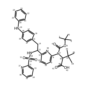 CC(C)(C)OC(=O)N(c1cccc(C(Cc2ccc(Nc3ccccc3)cc2)NS(=O)(=O)c2ccccn2)n1)C(C(=O)O)C(C)(C)C